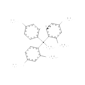 COc1ccc(C(OC)(c2ccc(OC)cc2OC)c2ccc(OC)cc2OC)c(OC)c1